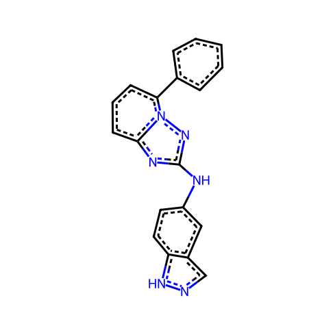 c1ccc(-c2cccc3nc(Nc4ccc5[nH]ncc5c4)nn23)cc1